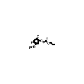 CCCOC(=O)COc1cc(N=C=S)c(F)cc1Cl